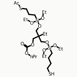 CCCOC(=O)OCC(CC)(CO[Si](CCCCS)(OCC)OCC)CO[Si](CCCSC(C)=O)(OCC)OCC